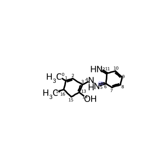 CC1=CC(N/N=C2/C=CC=CC2=N)=C(O)CC1C